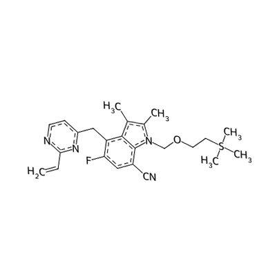 C=Cc1nccc(Cc2c(F)cc(C#N)c3c2c(C)c(C)n3COCCS(C)(C)C)n1